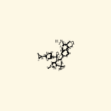 Cn1cc(N(Cc2ccc3c4c(c(N)nc3c2)COC4)C(=O)c2cnc(C3CC3)nc2)c(C(F)(F)F)n1